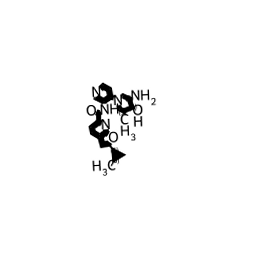 C[C@H]1CN(c2ccncc2NC(=O)c2ccc3cc([C@H]4C[C@@H]4C)oc3n2)C[C@@H](N)[C@@H]1O